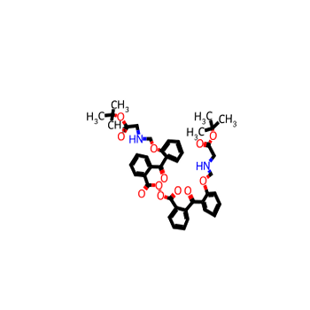 CC(C)(C)OC(=O)CNCOc1ccccc1C(=O)c1ccccc1C(=O)OOC(=O)c1ccccc1C(=O)c1ccccc1OCNCC(=O)OC(C)(C)C